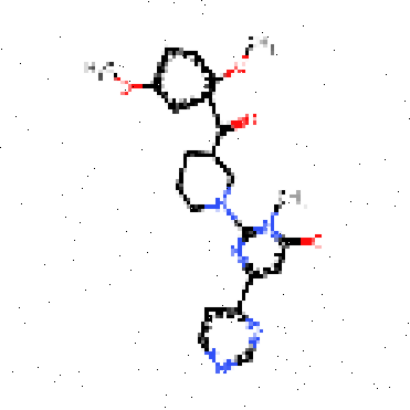 COc1ccc(OC)c(C(=O)C2CCCN(c3nc(-c4ccncn4)cc(=O)n3C)C2)c1